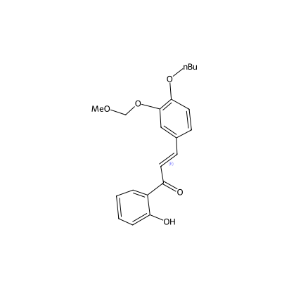 CCCCOc1ccc(/C=C/C(=O)c2ccccc2O)cc1OCOC